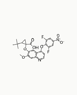 COc1cc2nccc(Oc3c(F)cc([N+](=O)[O-])cc3F)c2cc1OC1(C(=O)O)CC1C(C)(C)C